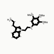 COc1cc(OCCn2cc(CCN)c3ccccc32)cc(OC)c1OC